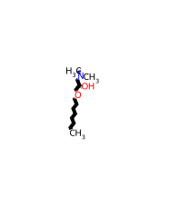 CCCCCCCCOC[C@@H](O)CN(C)C